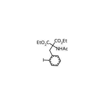 CCOC(=O)C(Cc1ccccc1I)(NC(C)=O)C(=O)OCC